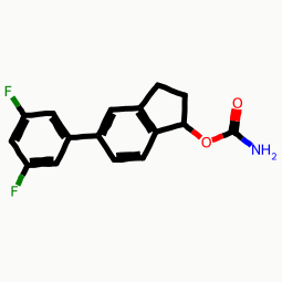 NC(=O)OC1CCc2cc(-c3cc(F)cc(F)c3)ccc21